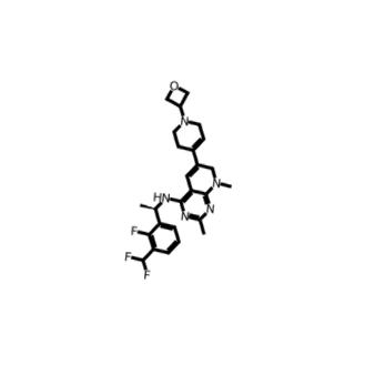 Cc1nc(N[C@H](C)c2cccc(C(F)F)c2F)c2c(n1)N(C)CC(C1=CCN(C3COC3)CC1)=C2